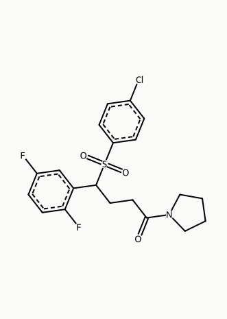 O=C(CCC(c1cc(F)ccc1F)S(=O)(=O)c1ccc(Cl)cc1)N1CCCC1